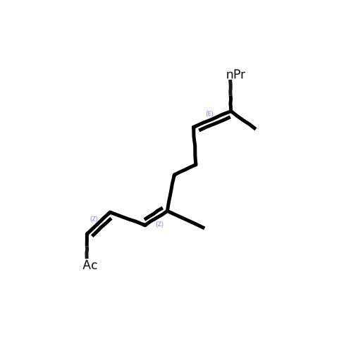 CCC/C(C)=C/CC/C(C)=C\C=C/C(C)=O